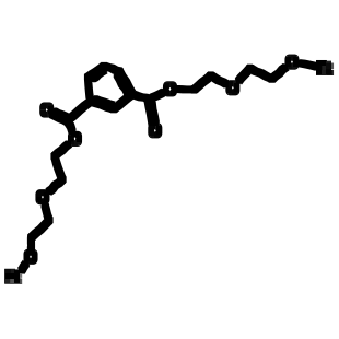 CCOCCOCCOC(=O)c1cccc(C(=O)OCCOCCOCC)c1